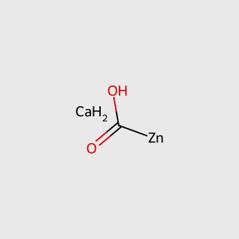 O=[C](O)[Zn].[CaH2]